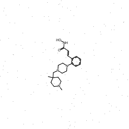 CN1CCC(C)(CN2CCN(c3ccccc3C=CC(=O)NO)CC2)CC1